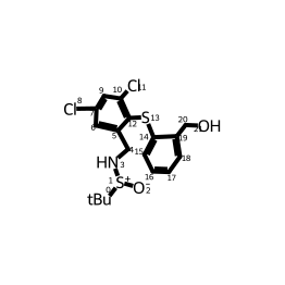 CC(C)(C)[S+]([O-])NCc1cc(Cl)cc(Cl)c1Sc1ccccc1CO